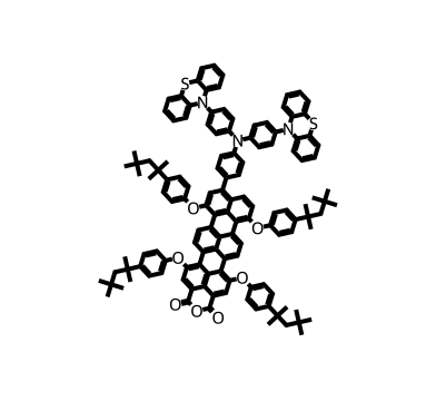 CC(C)(C)CC(C)(C)c1ccc(Oc2ccc3c(-c4ccc(N(c5ccc(N6c7ccccc7Sc7ccccc76)cc5)c5ccc(N6c7ccccc7Sc7ccccc76)cc5)cc4)cc(Oc4ccc(C(C)(C)CC(C)(C)C)cc4)c4c5ccc6c7c(Oc8ccc(C(C)(C)CC(C)(C)C)cc8)cc8c9c(cc(Oc%10ccc(C(C)(C)CC(C)(C)C)cc%10)c(c%10ccc(c2c34)c5c%106)c97)C(=O)OC8=O)cc1